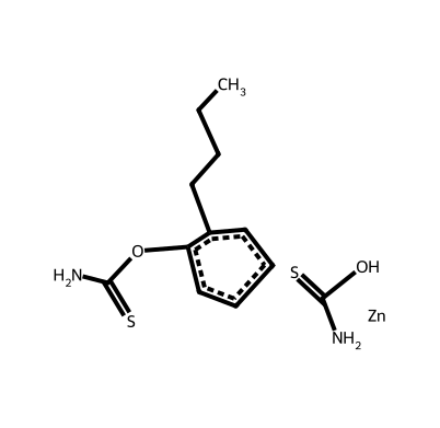 CCCCc1ccccc1OC(N)=S.NC(O)=S.[Zn]